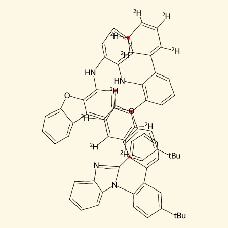 [2H]c1c([2H])c([2H])c(-c2cccc(-c3c([2H])c([2H])c([2H])c([2H])c3[2H])c2Nc2ccccc2Nc2cc(Oc3cc(-c4nc5ccccc5n4-c4ccc(C(C)(C)C)cc4-c4ccccc4)cc(C(C)(C)C)c3)cc3c2oc2ccccc23)c([2H])c1[2H]